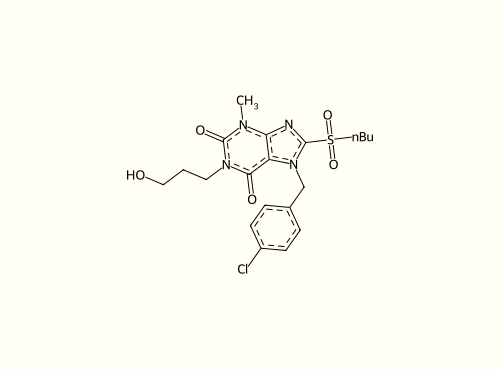 CCCCS(=O)(=O)c1nc2c(c(=O)n(CCCO)c(=O)n2C)n1Cc1ccc(Cl)cc1